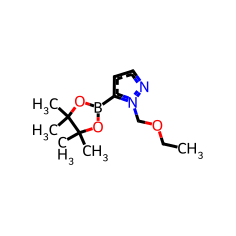 CCOCn1nccc1B1OC(C)(C)C(C)(C)O1